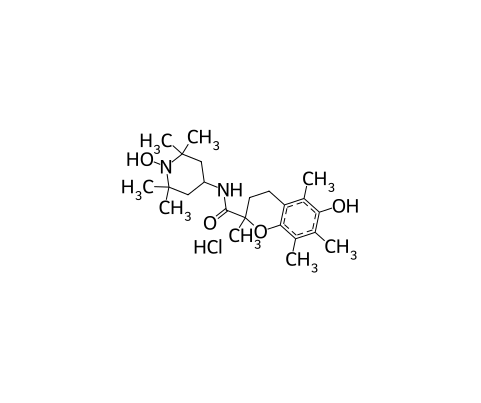 Cc1c(C)c2c(c(C)c1O)CCC(C)(C(=O)NC1CC(C)(C)N(O)C(C)(C)C1)O2.Cl